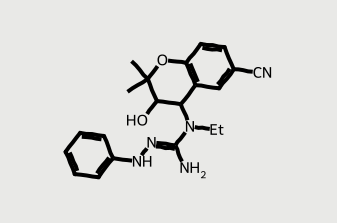 CCN(C(N)=NNc1ccccc1)C1c2cc(C#N)ccc2OC(C)(C)C1O